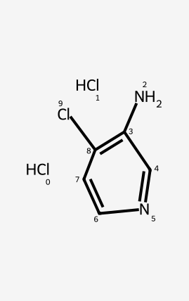 Cl.Cl.Nc1cnccc1Cl